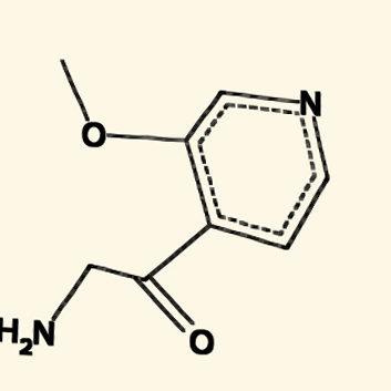 COc1cnccc1C(=O)CN